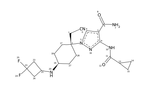 N#CC[C@]1(n2cc(C(N)=O)c(NC(=O)C3CC3)n2)CC[C@H](NC2CC(F)(F)C2)CC1